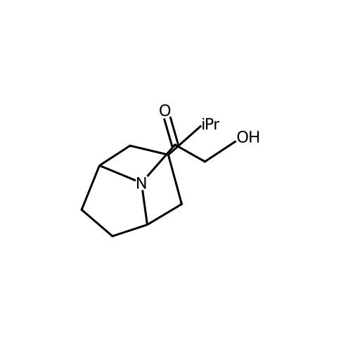 CC(C)C1CC2CCC(C1)N2C(=O)CO